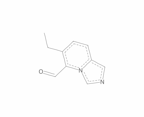 CCc1ccc2cncn2c1C=O